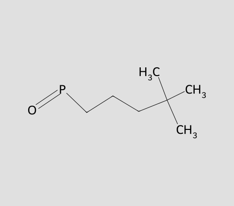 CC(C)(C)CCCP=O